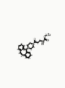 CC(C)(C)OC(=O)NCCC(=O)N1CCN(C2c3ccccc3C=Cc3ccccc32)CC1